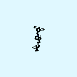 C=C1[C@H](O)CC(=C/C=C2\CCC[C@]3(C)[C@@H]([C@H](C)CN4CCC(O)(C5CC5)C4)CC[C@@H]23)C[C@H]1O